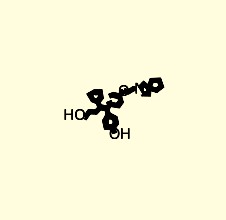 C=C(/C=C\C(=C/C)OCCN1CCC2(CCCC2)C1)/C(=C(/CCCO)C1=CC=CCC1)c1ccc(O)cc1